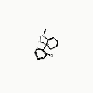 CN[C@]1(c2ccccc2Cl)CCCC=C1OC